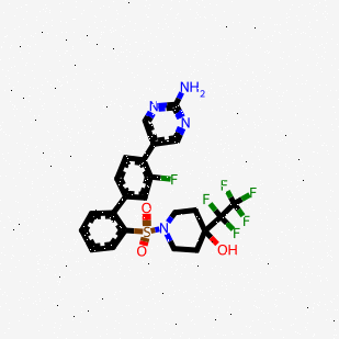 Nc1ncc(-c2ccc(-c3ccccc3S(=O)(=O)N3CCC(O)(C(F)(F)C(F)(F)F)CC3)cc2F)cn1